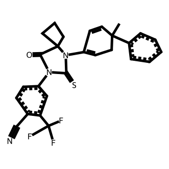 CC1(c2ccccc2)C=CC(N2C(=S)N(c3ccc(C#N)c(C(F)(F)F)c3)C(=O)C23CCC3)=CC1